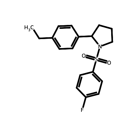 CCc1ccc(C2CCCN2S(=O)(=O)c2ccc(F)cc2)cc1